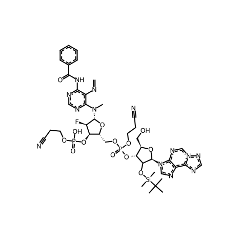 C=Nc1c(NC(=O)c2ccccc2)ncnc1N(C)[C@@H]1O[C@H](COP(=O)(OCCC#N)O[C@H]2C(O[Si](C)(C)C(C)(C)C)[C@H](n3cnc4c3ncn3ncnc43)O[C@@H]2CO)[C@@H](OP(=O)(O)OCCC#N)[C@H]1F